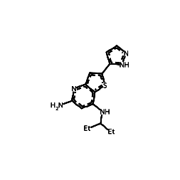 CCC(CC)Nc1cc(N)nc2cc(-c3ccn[nH]3)sc12